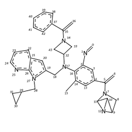 C=Nc1cc(C(=C)N2CC3C4C2N34)cc(C)c1N(Cc1cc2cccnc2n1CC1CC1)C1CN(C(=C)c2ccccc2)C1